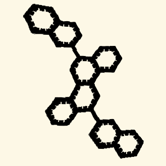 c1ccc2cc(-c3cc4c5ccccc5c(-c5ccc6ccccc6c5)cc4c4ccccc34)ccc2c1